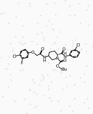 CC(C)(C)OC(=O)N1CC(NC(=O)COc2ccc(Cl)c(F)c2)CC[C@H]1C(=O)Nc1cccc(Cl)c1